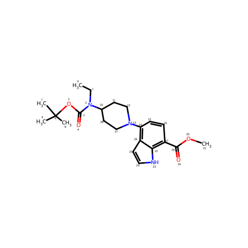 CCN(C(=O)OC(C)(C)C)C1CCN(c2ccc(C(=O)OC)c3[nH]ccc23)CC1